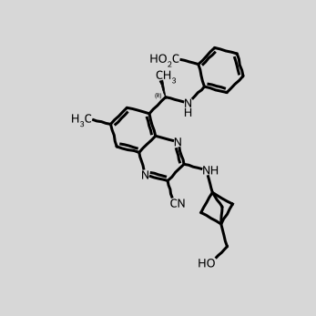 Cc1cc([C@@H](C)Nc2ccccc2C(=O)O)c2nc(NC34CC(CO)(C3)C4)c(C#N)nc2c1